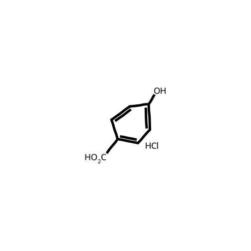 Cl.O=C(O)c1ccc(O)cc1